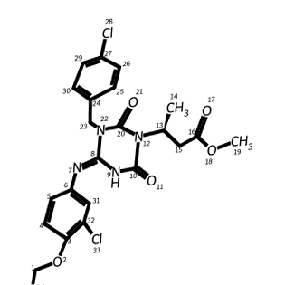 CCOc1ccc(/N=c2\[nH]c(=O)n([C@@H](C)CC(=O)OC)c(=O)n2Cc2ccc(Cl)cc2)cc1Cl